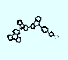 N#Cc1ccc(-c2ccc(C3c4ccccc4-c4cc(-c5ccc6c(c5)c5ccccc5n6-c5ccc6c7ccccc7c7ccccc7c6c5)ccc43)cc2)cc1